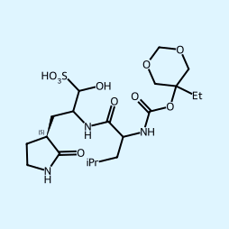 CCC1(OC(=O)NC(CC(C)C)C(=O)NC(C[C@@H]2CCNC2=O)C(O)S(=O)(=O)O)COCOC1